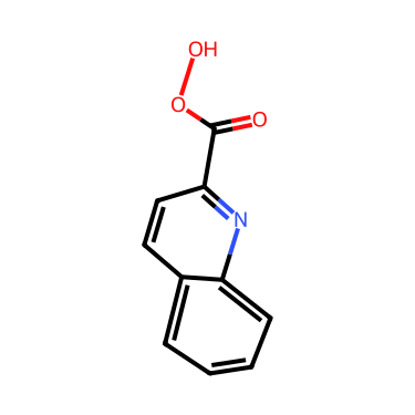 O=C(OO)c1ccc2ccccc2n1